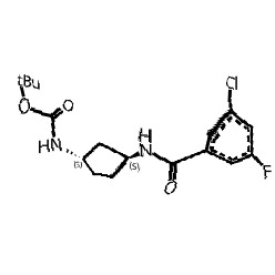 CC(C)(C)OC(=O)N[C@H]1CC[C@H](NC(=O)c2cc(F)cc(Cl)c2)C1